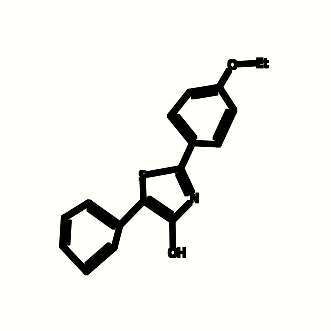 CCOc1ccc(-c2nc(O)c(-c3ccccc3)s2)cc1